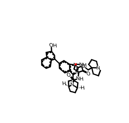 O=C1NCCC1NC(=O)N1[C@@H]2CC[C@H]1CN(c1nc(OCC34CCCN3CCC4)nc3cc(-c4cc(O)cc5ccccc45)ccc13)C2